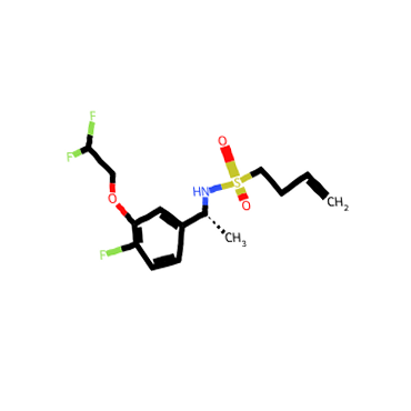 C=CCCS(=O)(=O)N[C@H](C)c1ccc(F)c(OCC(F)F)c1